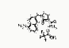 NC(=O)[C@@H]1CCN(Cc2ccc3c(N)ccnc3c2)C1=O.O=C(O)C(F)(F)F